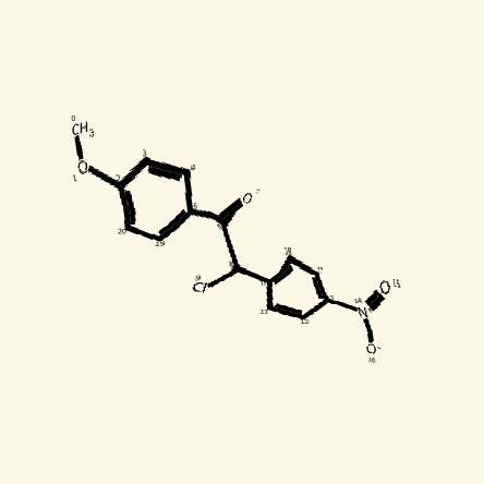 COc1ccc(C(=O)C(Cl)c2ccc([N+](=O)[O-])cc2)cc1